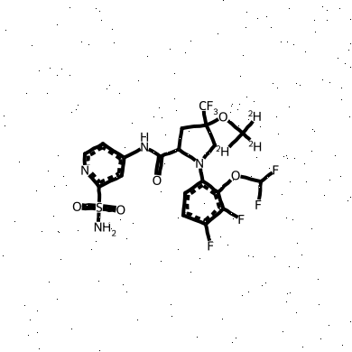 [2H]C([2H])([2H])OC1(C(F)(F)F)CC(C(=O)Nc2ccnc(S(N)(=O)=O)c2)N(c2ccc(F)c(F)c2OC(F)F)C1